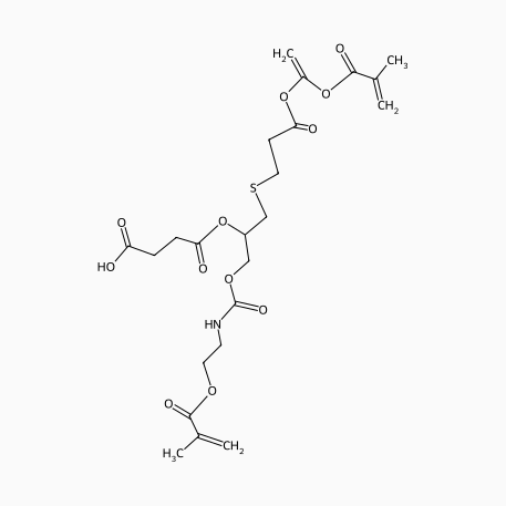 C=C(OC(=O)CCSCC(COC(=O)NCCOC(=O)C(=C)C)OC(=O)CCC(=O)O)OC(=O)C(=C)C